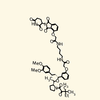 CCC(C)(C)C(=O)C(=O)N1CCC[C@H]1C(C)O[C@H](CCc1ccc(OC)c(OC)c1)c1cccc(OCC(=O)NCCCCNC(=O)COc2cccc3c2C(=O)N(C2CCC(=O)NC2=O)C3=O)c1